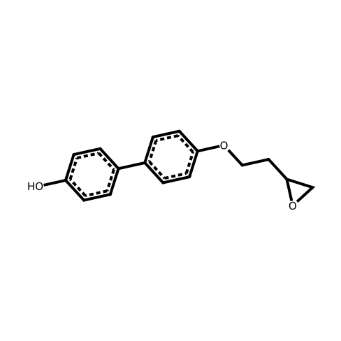 Oc1ccc(-c2ccc(OCCC3CO3)cc2)cc1